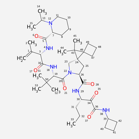 C=C(C)[C@H](NC(=O)[C@H]1CCCCN1C(C)C)C(=O)N[C@H](C(=O)N1C[C@]2(C[C@H]1C(=O)N[C@@H](CCC)C(=O)C(=O)NC1CCC1)C(C)(C)C21CCC1)C(C)(C)C